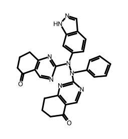 O=C1CCCc2nc(N(c3ccccc3)N(c3ccc4cn[nH]c4c3)c3ncc4c(n3)CCCC4=O)ncc21